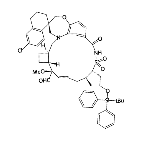 CO[C@]1(C=O)/C=C/C[C@H](C)[C@@H](CCO[Si](c2ccccc2)(c2ccccc2)C(C)(C)C)S(=O)(=O)NC(=O)c2ccc3c(c2)N(C[C@@H]2CC[C@H]21)C[C@@]1(CCCc2cc(Cl)ccc21)CO3